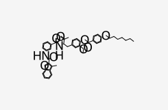 CCCCCCCOc1ccc(C(=O)Oc2ccc(CC(NC(=O)c3cccc(NC(=O)c4oc5ccccc5c4C)c3)C(C)=O)cc2OC)cc1